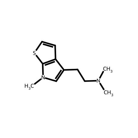 CN(C)CCc1cn(C)c2sccc12